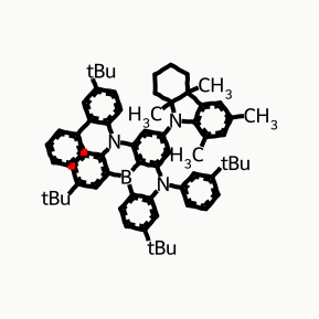 Cc1cc(C)c2c(c1)C1(C)CCCCC1(C)N2c1cc2c3c(c1)N(c1ccc(C(C)(C)C)cc1-c1ccccc1)c1ccc(C(C)(C)C)cc1B3c1ccc(C(C)(C)C)cc1N2c1cccc(C(C)(C)C)c1